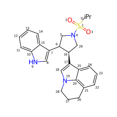 CC(C)S(=O)(=O)N1CC(c2c[nH]c3ccccc23)[C@H](c2cn3c4c(cccc24)CCC3)C1